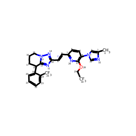 Cc1cn(-c2ccc(/C=C/c3nc4n(n3)CCCC4c3ccccc3C(F)(F)F)nc2OCC(F)(F)F)cn1